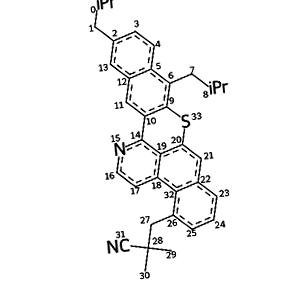 CC(C)Cc1ccc2c(CC(C)C)c3c(cc2c1)-c1nccc2c1c(cc1cccc(CC(C)(C)C#N)c12)S3